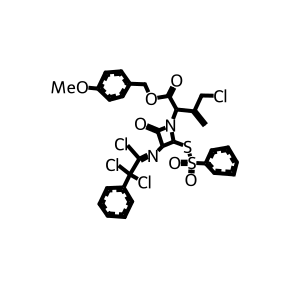 C=C(CCl)C(C(=O)OCc1ccc(OC)cc1)N1C(=O)C(N=C(Cl)C(Cl)(Cl)c2ccccc2)C1SS(=O)(=O)c1ccccc1